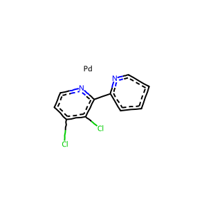 Clc1ccnc(-c2ccccn2)c1Cl.[Pd]